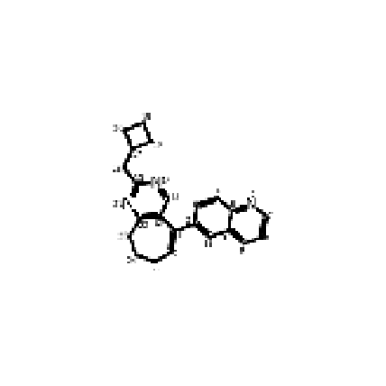 C1=C(c2ccc3ncccc3c2)c2cnc(CC3CCC3)nc2CCC1